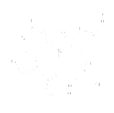 CN(C)c1cccc(-c2c[nH]c3nc(Cl)cc(NS(=O)(=O)c4ccccc4)c23)c1